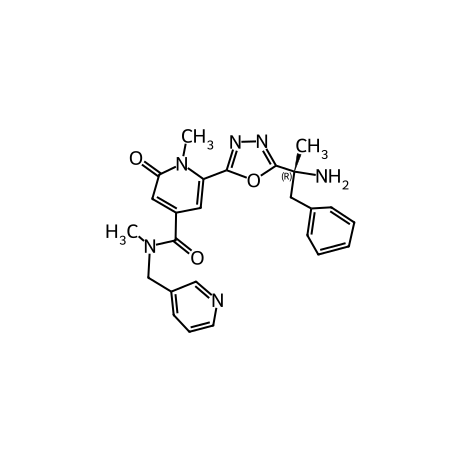 CN(Cc1cccnc1)C(=O)c1cc(-c2nnc([C@](C)(N)Cc3ccccc3)o2)n(C)c(=O)c1